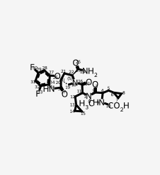 CN(C(=O)C(CC1CC1)NC(=O)O)C(CC1CC1)C(=O)N1C[C@@]2(C[C@H]1C(N)=O)Oc1cc(F)cc(F)c1NC2=O